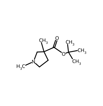 CN1CCC(C)(C(=O)OC(C)(C)C)C1